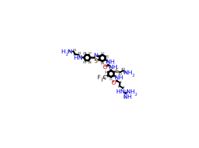 N=C(N)NCCCC(=O)Nc1cc(C(F)(F)F)cc(NC(=O)Nc2ccc3nc(-c4ccc(NCCCN)cc4)sc3c2)c1SCCN